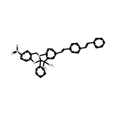 CC1(C)c2cc(/C=C/c3ccc(/C=C/c4ccccc4)cc3)ccc2N2Cc3cc([N+](=O)[O-])ccc3OC21c1ccccc1